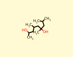 CC(C)CC(C)(O)CC(C)CC(C)O